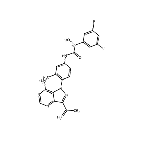 C=C(C)c1nn(-c2ccc(NC(=O)[C@H](O)c3cc(F)cc(F)c3)cc2C)c2c(N)ncnc12